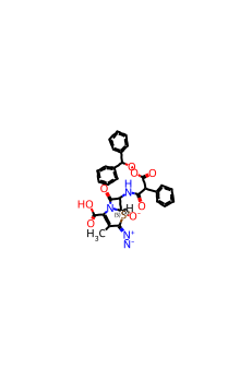 CC1=C(C(=O)O)N2C(=O)C(NC(=O)C(C(=O)OOC(c3ccccc3)c3ccccc3)c3ccccc3)[C@@H]2[S@@+]([O-])C1=[N+]=[N-]